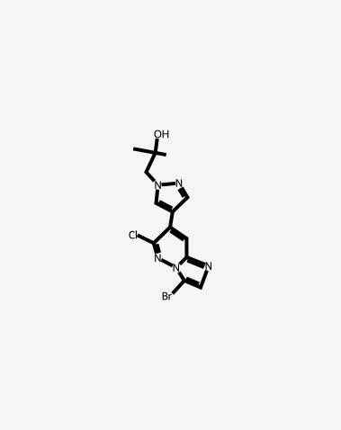 CC(C)(O)Cn1cc(-c2cc3ncc(Br)n3nc2Cl)cn1